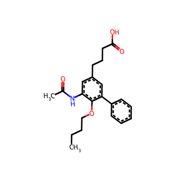 CCCCOc1c(NC(C)=O)cc(CCCC(=O)O)cc1-c1ccccc1